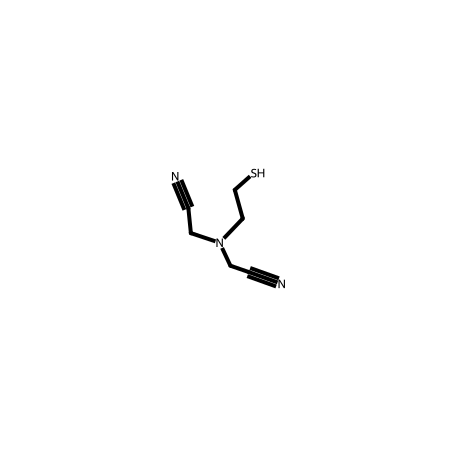 N#CCN(CC#N)CCS